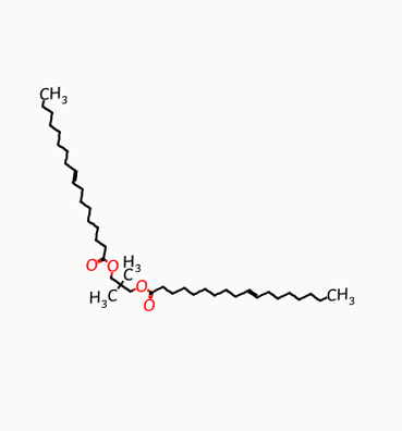 CCCCCCC/C=C/CCCCCCCCC(=O)OCC(C)(C)COC(=O)CCCCCCC/C=C/CCCCCCCC